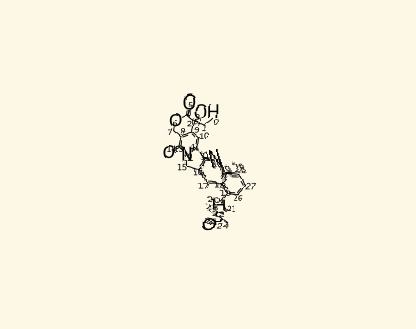 CC[C@@]1(O)C(=O)OCc2c1cc1n(c2=O)Cc2cc3c(CC[SH](C)(C)=O)cccc3nc2-1